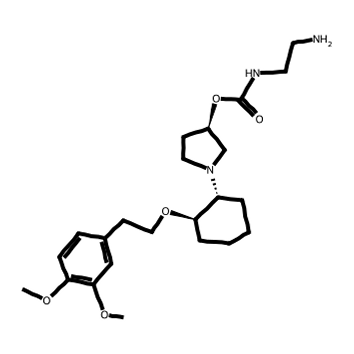 COc1ccc(CCO[C@@H]2CCCC[C@H]2N2CC[C@@H](OC(=O)NCCN)C2)cc1OC